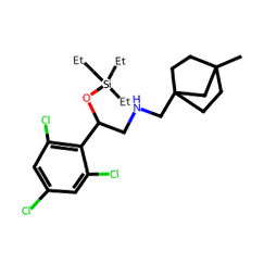 CC[Si](CC)(CC)OC(CNCC12CCC(C)(CC1)C2)c1c(Cl)cc(Cl)cc1Cl